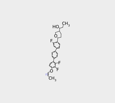 C/C=C\Oc1ccc(-c2ccc(-c3ccc(C4CCC(C(O)CC)CO4)c(F)c3)cc2)c(F)c1F